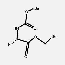 CC(C)[C@H](NC(=O)OC(C)(C)C)C(=O)OCC(C)(C)C